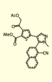 COC(=O)c1sc(-c2cnn(C)c2-c2ccc3ccccc3c2C#N)cc1C(=O)COC(C)=O